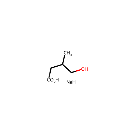 CC(CO)CC(=O)O.[NaH]